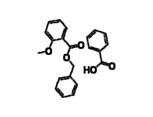 COc1ccccc1C(=O)OCc1ccccc1.O=C(O)c1ccccc1